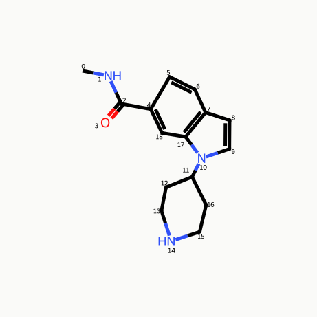 CNC(=O)c1ccc2ccn(C3CCNCC3)c2c1